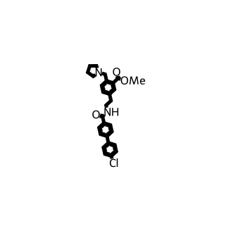 COC(=O)c1cc(CCNC(=O)c2ccc(-c3ccc(Cl)cc3)cc2)ccc1CN1CCCC1